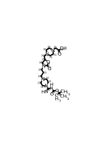 CC(C)(C)OC(=O)NC(=N)N1CCN(CCCN2CC(CN3CCN(CC(=O)O)CC3)OC2=O)CC1